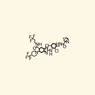 Cn1c(Nc2c(Cl)ccc(CNC(=O)c3nccs3)c2Cl)nc2cc(C(=O)NCCC(F)(F)F)c(N3CCC(C(F)(F)F)CC3)cc21